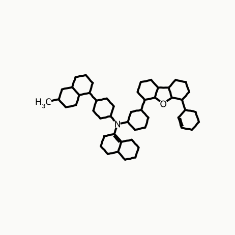 CC1CCC2C(CCCC2C2CCC(N(C3=C4CCCCC4CCC3)C3CCCC(C4CCCC5C6CCCC(C7C=CCCC7)C6OC45)C3)CC2)C1